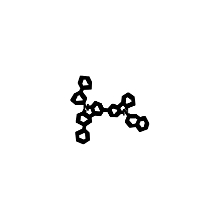 c1ccc(-c2cccc(-n3c4ccc(-c5ccccc5)cc4c4cc(-c5ccc6c(c5)c5ccccc5n6-c5ccc6ccccc6c5)ccc43)c2)cc1